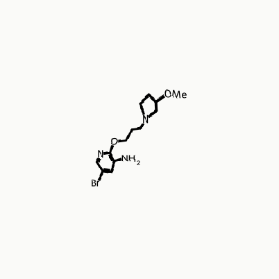 COC1CCN(CCCOc2ncc(Br)cc2N)C1